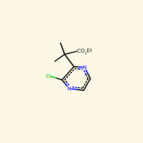 CCOC(=O)C(C)(C)c1nccnc1Cl